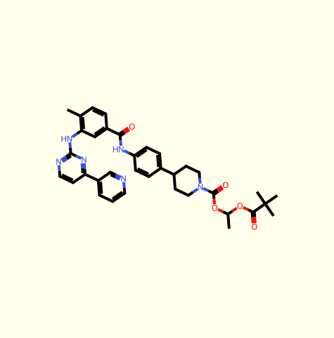 Cc1ccc(C(=O)Nc2ccc(C3CCN(C(=O)OC(C)OC(=O)C(C)(C)C)CC3)cc2)cc1Nc1nccc(-c2cccnc2)n1